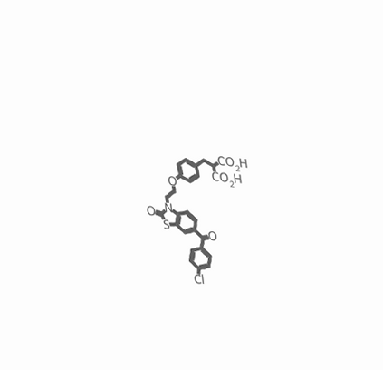 O=C(c1ccc(Cl)cc1)c1ccc2c(c1)sc(=O)n2CCOc1ccc(CC(C(=O)O)C(=O)O)cc1